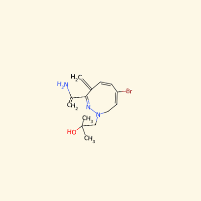 C=C(N)/C1=N/N(CC(C)(C)O)C/C=C(Br)\C=C/C1=C